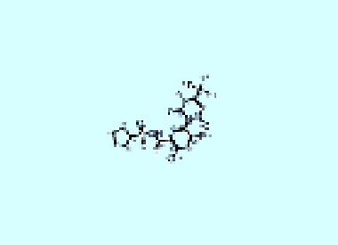 Cn1c(C(F)(F)F)cc(=O)n(-c2cc(C(=O)NS(=O)(=O)C3CCCC3)c(Cl)cc2F)c1=O